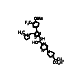 COc1ccc(-c2nc(NC(O)c3cnc(N4CCN(C(C)C(=O)O)CC4)cn3)sc2CN2CCC[C@H]2C)cc1C(F)(F)F